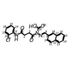 O=C(CCC(=O)N(/N=C/c1ccc2ccccc2c1)C(=O)O)Nc1ccccc1Cl